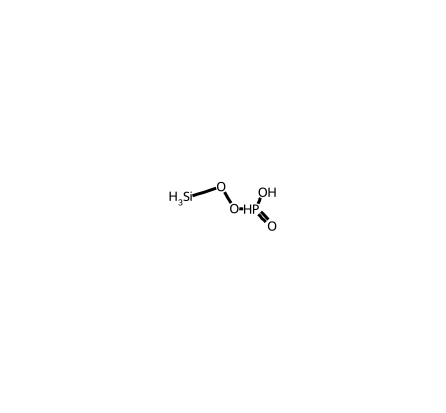 O=[PH](O)OO[SiH3]